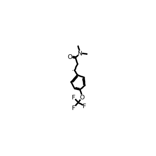 CN(C)C(=O)C[CH]c1ccc(OC(F)(F)F)cc1